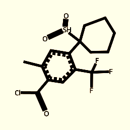 Cc1cc(C2([SH](=O)=O)CCCCC2)c(C(F)(F)F)cc1C(=O)Cl